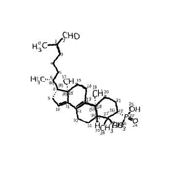 CC(C=O)CCC[C@@H](C)[C@H]1CC=C2C3=C(CC[C@@]21C)[C@@]1(C)CC[C@H](P(=O)(O)O)C(C)(C)[C@@H]1CC3